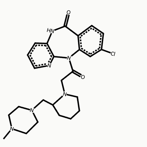 CN1CCN(CC2CCCCN2CC(=O)N2c3cc(Cl)ccc3C(=O)Nc3cccnc32)CC1